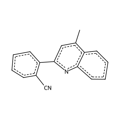 Cc1cc(-c2ccccc2C#N)nc2ccccc12